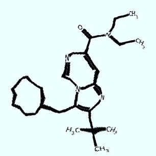 CCN(CC)C(=O)c1cc2nc(C(C)(C)C)c(CC3CCCCC3)n2cn1